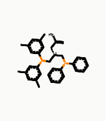 C=C(CCC)C[C@H](CP(c1ccccc1)c1ccccc1)CP(c1cc(C)cc(C)c1)c1cc(C)cc(C)c1